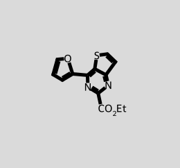 CCOC(=O)c1nc(-c2ccco2)c2sccc2n1